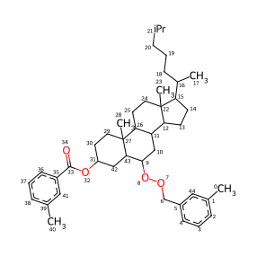 Cc1cccc(COOC2CC3C4CCC(C(C)CCCC(C)C)C4(C)CCC3C3(C)CCC(OC(=O)c4cccc(C)c4)CC23)c1